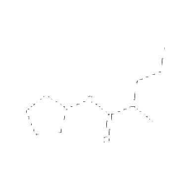 CCCC(C)C(=O)OC1CCCC1